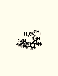 [2H]c1c(CCN(C)C)c2cc(CS(=O)(=O)N([2H])C([2H])([2H])[2H])ccc2n1[2H]